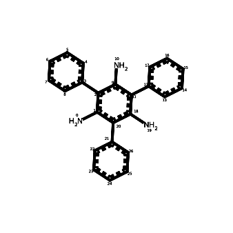 Nc1c(-c2ccccc2)c(N)c(-c2ccccc2)c(N)c1-c1ccccc1